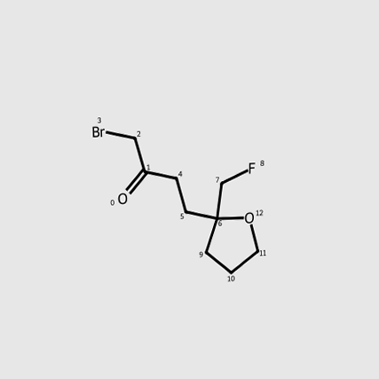 O=C(CBr)CCC1(CF)CCCO1